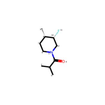 CC(C)C(=O)N1CC[C@H](C)[C@H](F)C1